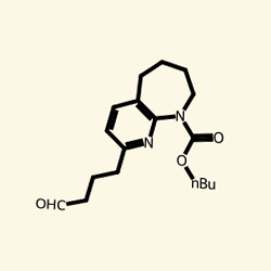 CCCCOC(=O)N1CCCCc2ccc(CCCC=O)nc21